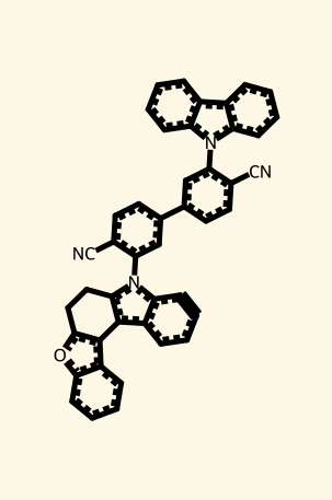 N#Cc1ccc(-c2ccc(C#N)c(-n3c4ccccc4c4ccccc43)c2)cc1-n1c2c(c3ccc#cc31)-c1c(oc3ccccc13)CC2